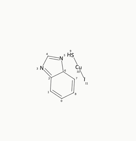 C1=CC2=NC=NC2C=C1.[SH][Cu][I]